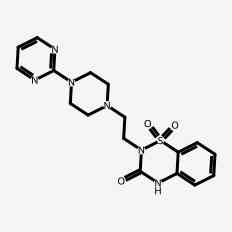 O=C1Nc2ccccc2S(=O)(=O)N1CCN1CCN(c2ncccn2)CC1